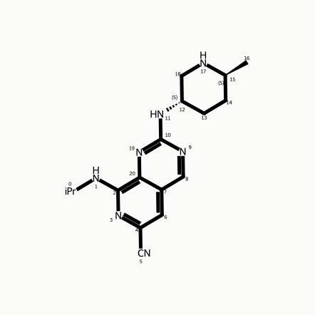 CC(C)Nc1nc(C#N)cc2cnc(N[C@H]3CC[C@H](C)NC3)nc12